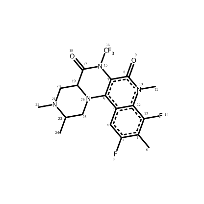 Cc1c(F)cc2c3c(c(=O)n(C)c2c1F)N(C(F)(F)F)C(=O)C1CN(C)C(C)CN31